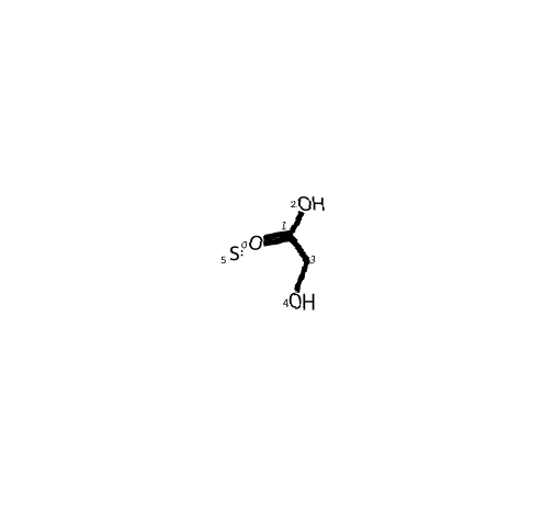 O=C(O)CO.[S]